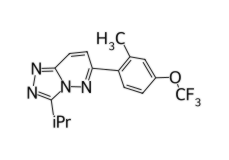 Cc1cc(OC(F)(F)F)ccc1-c1ccc2nnc(C(C)C)n2n1